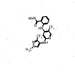 CNC(=O)c1ccccc1Nc1cc(Nc2cn(C)nc2C(F)(F)F)ncc1C(F)(F)F